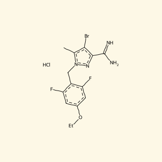 CCOc1cc(F)c(Cn2nc(C(=N)N)c(Br)c2C)c(F)c1.Cl